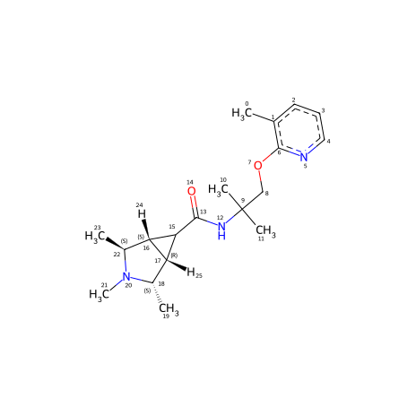 Cc1cccnc1OCC(C)(C)NC(=O)C1[C@@H]2[C@H]1[C@H](C)N(C)[C@H]2C